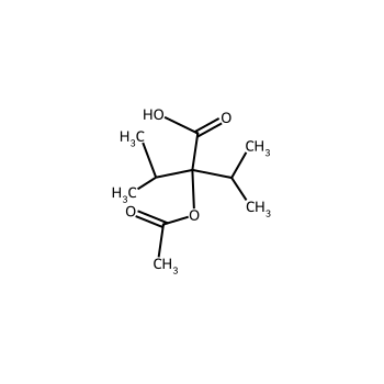 CC(=O)OC(C(=O)O)(C(C)C)C(C)C